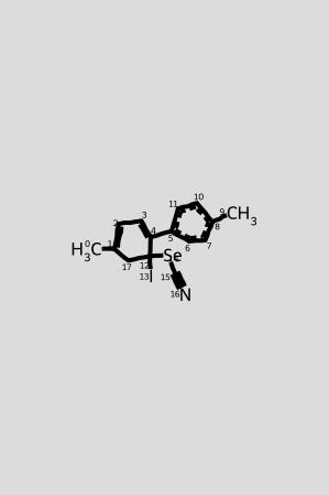 CC1=CC=C(c2ccc(C)cc2)C(I)([Se]C#N)C1